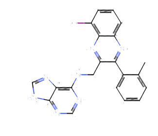 Cc1ccccc1-c1nc2cccc(I)c2nc1CNc1ncnc2[nH]cnc12